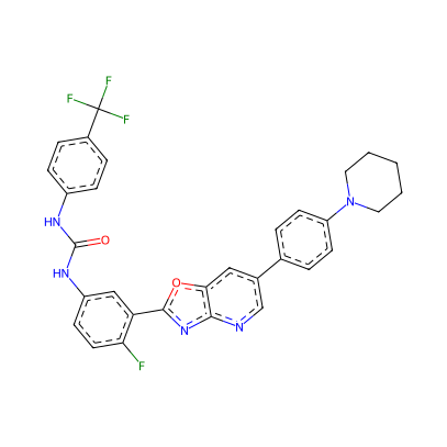 O=C(Nc1ccc(C(F)(F)F)cc1)Nc1ccc(F)c(-c2nc3ncc(-c4ccc(N5CCCCC5)cc4)cc3o2)c1